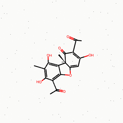 CC(=O)C1=C(O)C=C2Oc3c(C(C)=O)c(O)c(C)c(O)c3[C@]2(C)C1=O